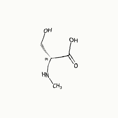 CN[C@H](CO)C(=O)O